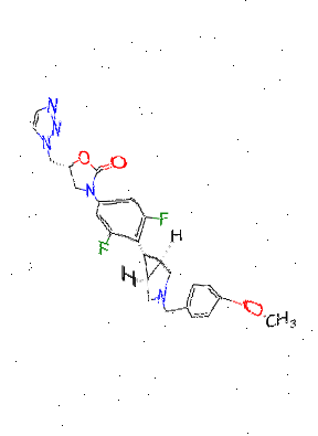 COc1ccc(CN2C[C@@H]3[C@H](C2)[C@H]3c2c(F)cc(N3C[C@H](Cn4ccnn4)OC3=O)cc2F)cc1